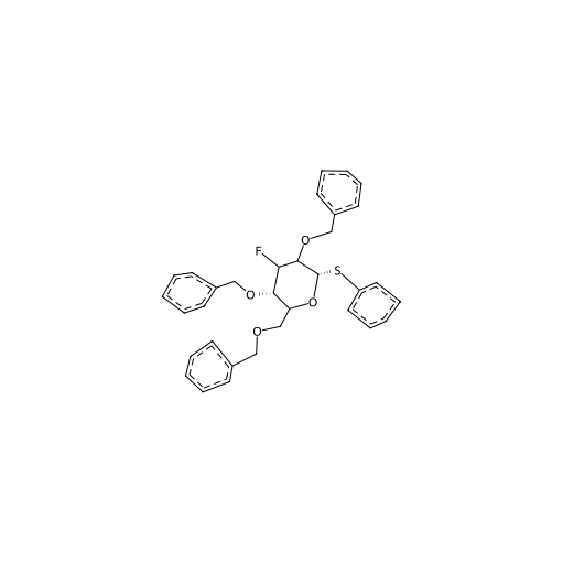 FC1C(OCc2ccccc2)[C@H](Sc2ccccc2)OC(COCc2ccccc2)[C@@H]1OCc1ccccc1